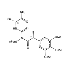 CCCCCN(C(=O)N[C@@H](C(N)=O)C(C)CC)C(=O)[C@@H](C)c1cc(OC)c(OC)c(OC)c1